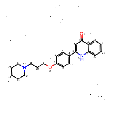 O=c1cc(-c2ccc(OCCCN3CCCCC3)cc2)[nH]c2ccccc12